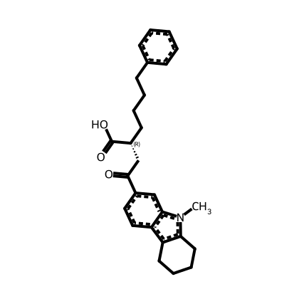 Cn1c2c(c3ccc(C(=O)C[C@@H](CCCCc4ccccc4)C(=O)O)cc31)CCCC2